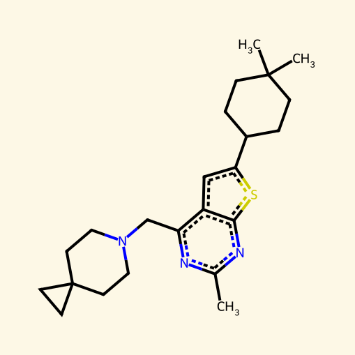 Cc1nc(CN2CCC3(CC2)CC3)c2cc(C3CCC(C)(C)CC3)sc2n1